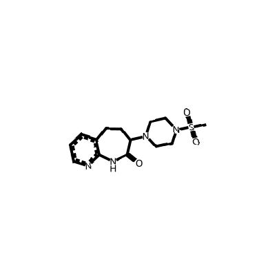 CS(=O)(=O)N1CCN(C2CCc3cccnc3NC2=O)CC1